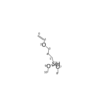 C=COCCC[SiH](OC)OC